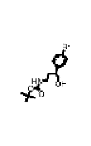 CC(C)(C)OC(=O)NCC[C@H](CO)c1ccc(Br)cc1